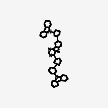 c1cc(-c2cccc(-n3c4ccccc4c4ccccc43)c2)cc(-c2ncnc3c2sc2ccc(-c4cccc(-n5c6ccccc6c6ccccc65)c4)cc23)c1